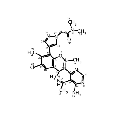 CCOc1c(C(C)Nc2ncnc(N)c2C(C)=N)cc(Cl)c(C)c1-c1cnn(CC(=O)N(C)C)c1